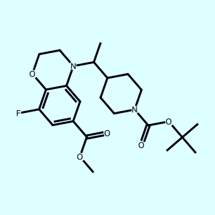 COC(=O)c1cc(F)c2c(c1)N(C(C)C1CCN(C(=O)OC(C)(C)C)CC1)CCO2